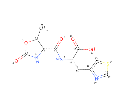 CC1OC(=O)NC1C(=O)N[C@@H](Cc1cscn1)C(=O)O